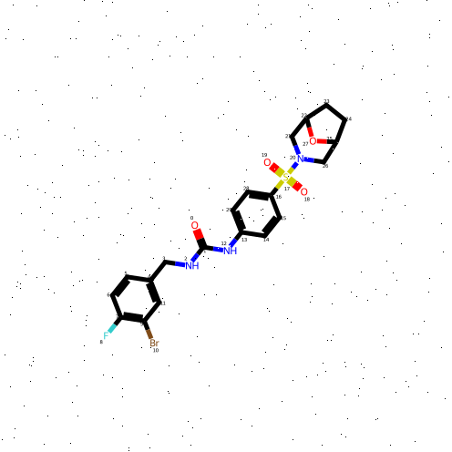 O=C(NCc1ccc(F)c(Br)c1)Nc1ccc(S(=O)(=O)N2CC3CCC(C2)O3)cc1